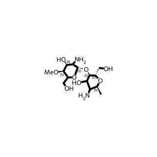 CO[C@@H]1C(CO)O[C@@H](O[C@H]2C(O)C(N)[C@H](C)O[C@H]2CO)C(N)[C@H]1O